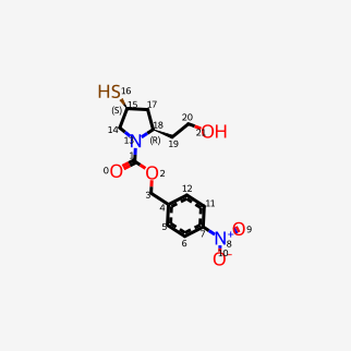 O=C(OCc1ccc([N+](=O)[O-])cc1)N1C[C@@H](S)C[C@H]1CCO